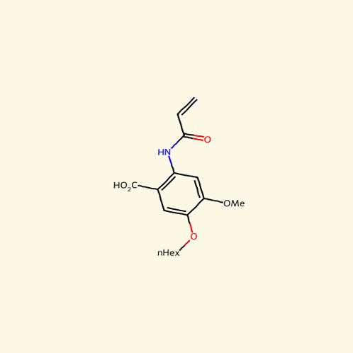 C=CC(=O)Nc1cc(OC)c(OCCCCCC)cc1C(=O)O